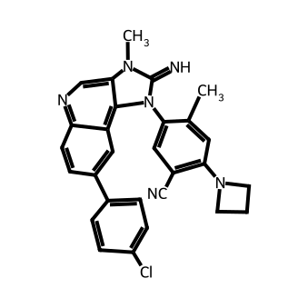 Cc1cc(N2CCC2)c(C#N)cc1-n1c(=N)n(C)c2cnc3ccc(-c4ccc(Cl)cc4)cc3c21